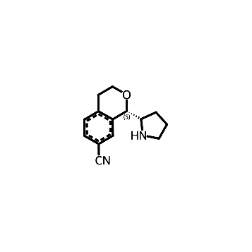 N#Cc1ccc2c(c1)[C@@H](C1CCCN1)OCC2